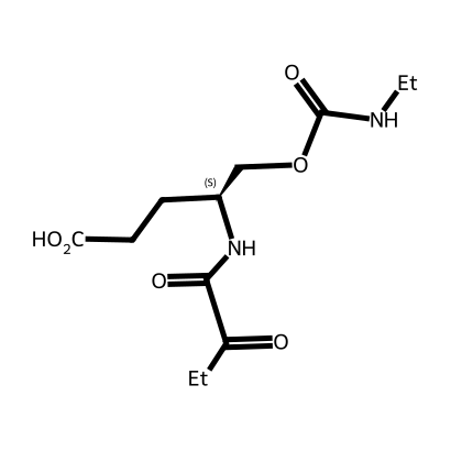 CCNC(=O)OC[C@H](CCC(=O)O)NC(=O)C(=O)CC